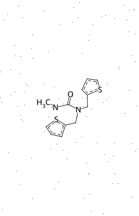 C[N]C(=O)N(Cc1cccs1)Cc1cccs1